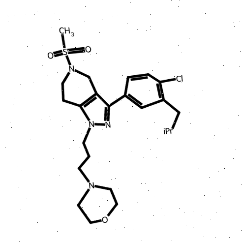 CC(C)Cc1cc(-c2nn(CCCN3CCOCC3)c3c2CN(S(C)(=O)=O)CC3)ccc1Cl